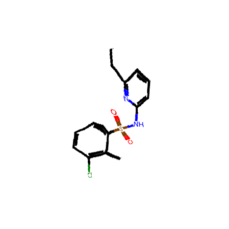 [CH2]Cc1cccc(NS(=O)(=O)c2cccc(Cl)c2C)n1